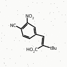 CC(C)(C)C(=Cc1ccc(C#N)c([N+](=O)[O-])c1)C(=O)O